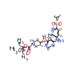 Cc1nc(S(=O)(=O)C2CC2)ccc1Nc1cc(OC2CCN(C(=O)OC(C)(C)C)CC2)ncn1